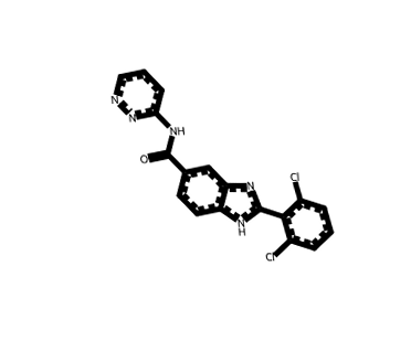 O=C(Nc1cccnn1)c1ccc2[nH]c(-c3c(Cl)cccc3Cl)nc2c1